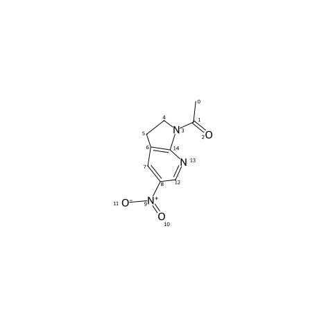 CC(=O)N1CCc2cc([N+](=O)[O-])cnc21